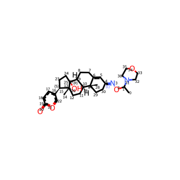 CC(O/N=C1/C=C2CC[C@@H]3[C@H](CC[C@]4(C)[C@@H](c5ccc(=O)oc5)CC[C@]34O)[C@@]2(C)CC1)N1CCOCC1